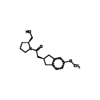 COc1ccc2c(c1)C[C@H](CC(=O)N1CCC[C@H]1CO)C2